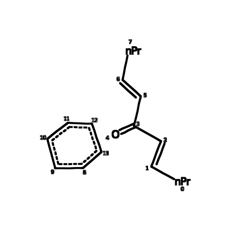 CCCC=CC(=O)C=CCCC.c1ccccc1